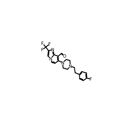 O=Cc1c(N2CCN(CCc3ccc(F)cc3)CC2)ccn2cc(C(F)(F)F)nc12